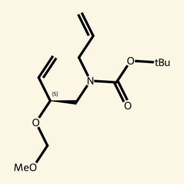 C=CCN(C[C@H](C=C)OCOC)C(=O)OC(C)(C)C